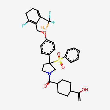 C=C(O)C1CCC(C(=O)N2CCC(c3ccc(OCC4=C(F)CCC=C4C(F)(F)P)cc3)(S(=O)(=O)c3ccccc3)C2)CC1